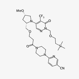 CO[C@H]1C[C@@H](COCCC(=O)N2CCN(c3ccc(C#N)cn3)CC2)N(c2cnn(COCC[Si](C)(C)C)c(=O)c2C(F)(F)F)C1